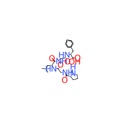 CC(C)C[C@H](NC(=O)CNC(=O)[C@@H]1CCCN1)C(=O)NCC(=O)N[C@@H](Cc1ccccc1)C(=O)O